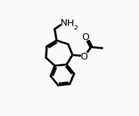 CC(=O)OC1CC(CN)=CCc2ccccc21